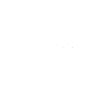 Cc1cccc2c(CC(NC(=O)OCC3c4ccccc4-c4ccccc43)C(=O)OC(C)(C)C)cn(C(=O)OC(C)(C)C)c12